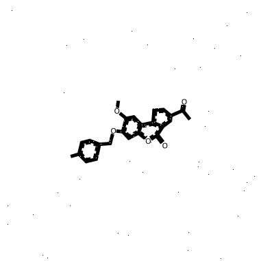 COc1cc2c(cc1OCc1ccc(C)cc1)oc(=O)c1cc(C(C)=O)ccc12